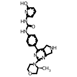 C[C@H]1COCCN1c1nc2c(c(-c3ccc(NC(=O)Nc4cccc(O)n4)cc3)n1)CNC2